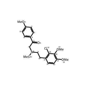 COc1ccc(C(=O)CN(CCc2ccc(OC)c(OC)c2Cl)SC)cc1